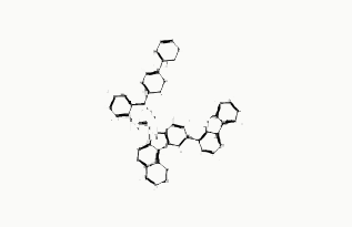 C1=CCCC(C2=CC=C(c3nc(-n4c5ccc(-c6cccc7c6sc6ccccc67)cc5c5c6c(ccc54)C=CCC6)nc4ccccc34)CC2)=C1